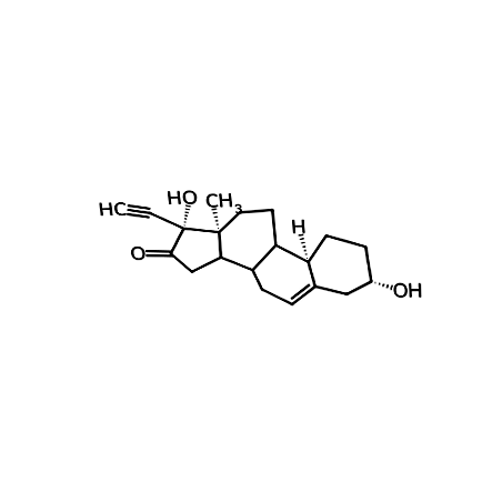 C#C[C@]1(O)C(=O)CC2C3CC=C4C[C@@H](O)CC[C@@H]4C3CC[C@@]21C